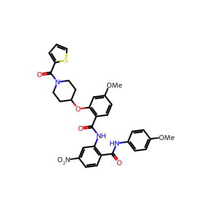 COc1ccc(NC(=O)c2ccc([N+](=O)[O-])cc2NC(=O)c2ccc(OC)cc2OC2CCN(C(=O)c3cccs3)CC2)cc1